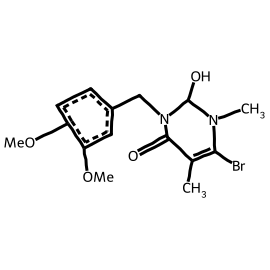 COc1ccc(CN2C(=O)C(C)=C(Br)N(C)C2O)cc1OC